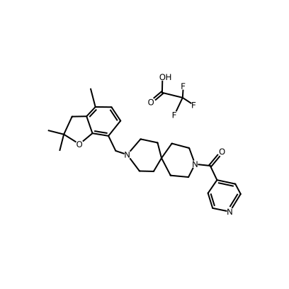 Cc1ccc(CN2CCC3(CC2)CCN(C(=O)c2ccncc2)CC3)c2c1CC(C)(C)O2.O=C(O)C(F)(F)F